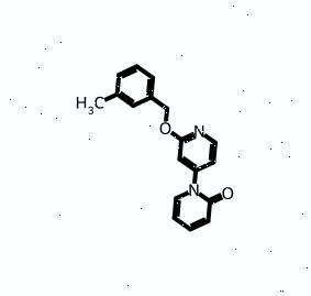 Cc1cccc(COc2cc(-n3ccccc3=O)ccn2)c1